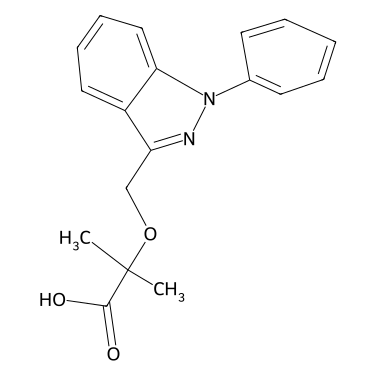 CC(C)(OCc1nn(-c2ccccc2)c2ccccc12)C(=O)O